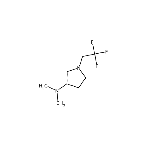 CN(C)C1CCN(CC(F)(F)F)C1